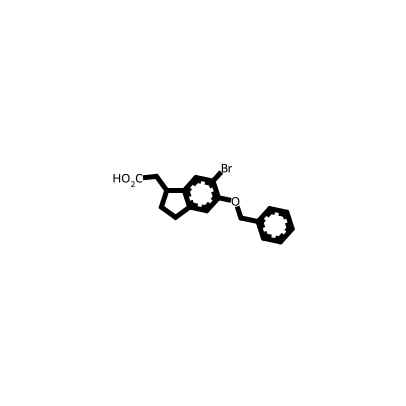 O=C(O)CC1CCc2cc(OCc3ccccc3)c(Br)cc21